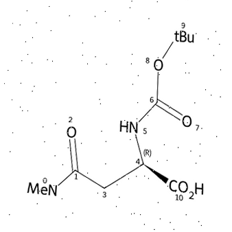 CNC(=O)C[C@@H](NC(=O)OC(C)(C)C)C(=O)O